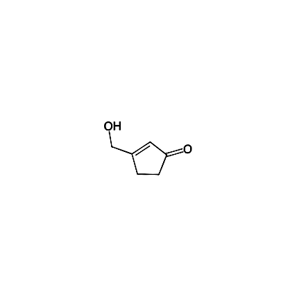 O=C1C=C(CO)CC1